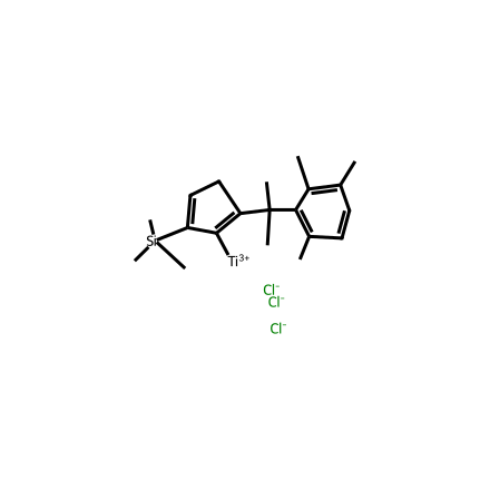 Cc1ccc(C)c(C(C)(C)C2=[C]([Ti+3])C([Si](C)(C)C)=CC2)c1C.[Cl-].[Cl-].[Cl-]